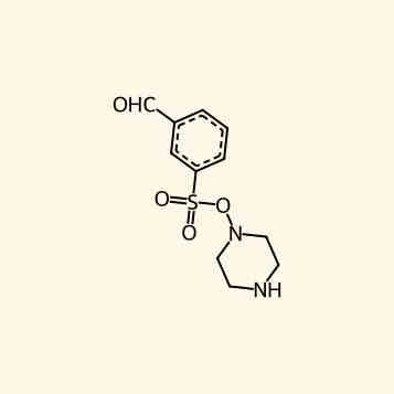 O=Cc1cccc(S(=O)(=O)ON2CCNCC2)c1